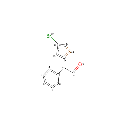 O=CC(c1ccccc1)c1cc(Br)cs1